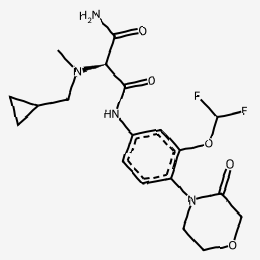 CN(CC1CC1)[C@@H](C(N)=O)C(=O)Nc1ccc(N2CCOCC2=O)c(OC(F)F)c1